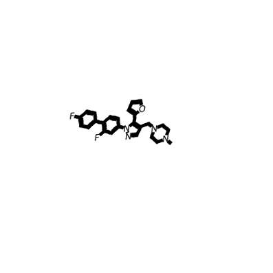 CN1CCN(Cc2cnn(-c3ccc(-c4ccc(F)cc4)c(F)c3)c2-c2ccco2)CC1